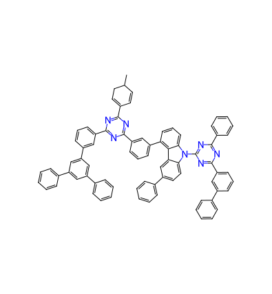 CC1C=CC(c2nc(-c3cccc(-c4cc(-c5ccccc5)cc(-c5ccccc5)c4)c3)nc(-c3cccc(-c4cccc5c4c4cc(-c6ccccc6)ccc4n5-c4nc(-c5ccccc5)nc(-c5cccc(-c6ccccc6)c5)n4)c3)n2)=CC1